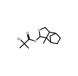 CCC(C)(C)C(=O)OC1OCC2C3CCC(C3)C12C